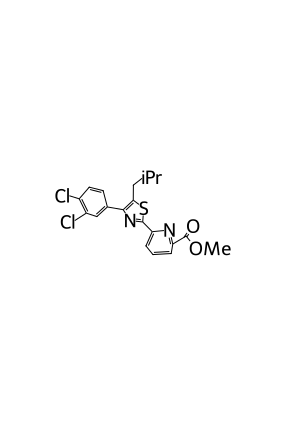 COC(=O)c1cccc(-c2nc(-c3ccc(Cl)c(Cl)c3)c(CC(C)C)s2)n1